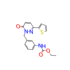 CCOC(=O)Nc1cccc(Cn2nc(-c3cccs3)ccc2=O)c1